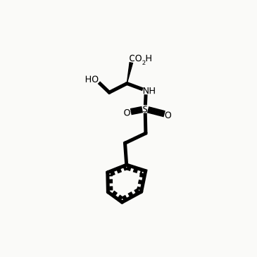 O=C(O)[C@H](CO)NS(=O)(=O)CCc1ccccc1